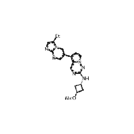 CCc1cnc2ncc(-c3ccn4nc(N[C@H]5C[C@H](OC)C5)ncc34)cn12